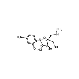 CNC[C@]1(CO)O[C@@H](n2ccc(N)nc2=O)[C@H](O)[C@@H]1O